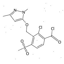 Cc1cc(OCc2c(S(C)(=O)=O)ccc(C(=O)Cl)c2Cl)n(C)n1